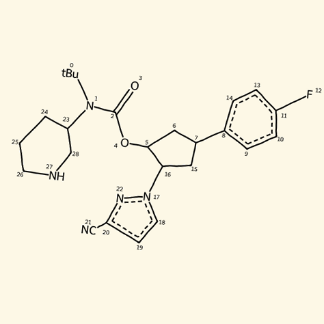 CC(C)(C)N(C(=O)OC1CC(c2ccc(F)cc2)CC1n1ccc(C#N)n1)C1CCCNC1